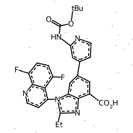 CCc1nc2c(C(=O)O)cc(-c3ccnc(NC(=O)OC(C)(C)C)c3)cc2n1-c1ccnc2c(F)ccc(F)c12